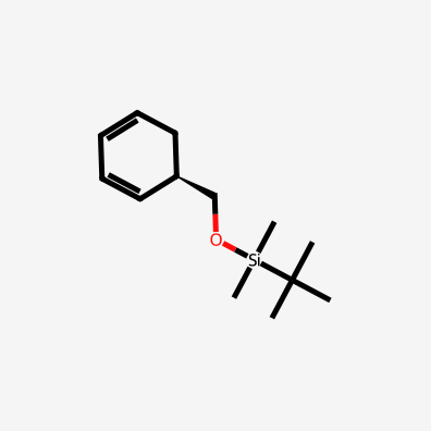 CC(C)(C)[Si](C)(C)OC[C@H]1C=CC=CC1